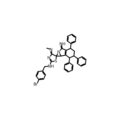 CN=C1N=C(NCc2ccc(Br)cc2)SC12C1C3=C(C(=N)N12)C(c1ccccc1)CC(c1ccccc1)C3c1ccccc1